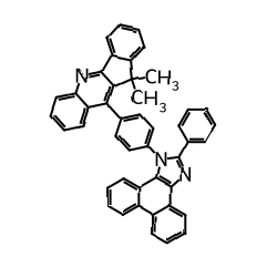 CC1(C)c2ccccc2-c2nc3ccccc3c(-c3ccc(-n4c(-c5ccccc5)nc5c6ccccc6c6ccccc6c54)cc3)c21